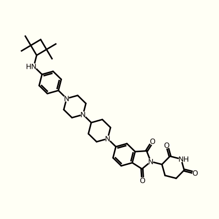 CC1(C)CC(C)(C)C1Nc1ccc(N2CCN(C3CCN(c4ccc5c(c4)C(=O)N(C4CCC(=O)NC4=O)C5=O)CC3)CC2)cc1